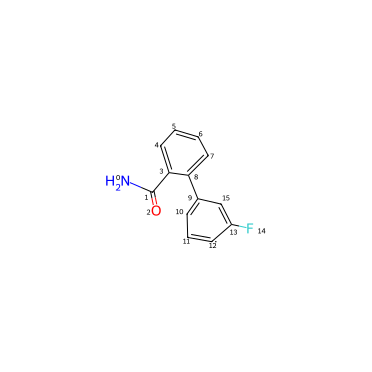 NC(=O)c1ccccc1-c1cc[c]c(F)c1